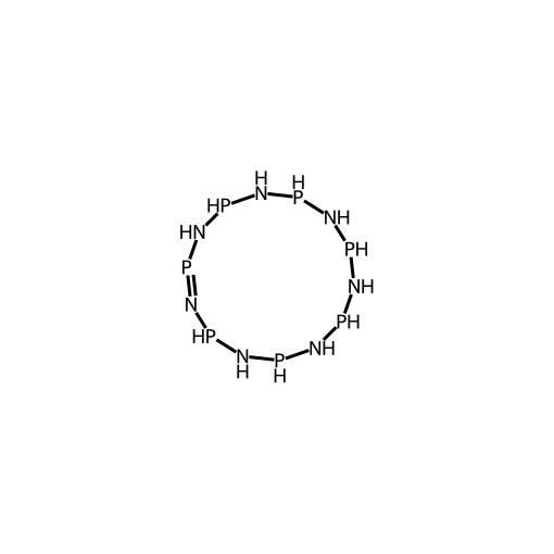 n1p[nH][pH][nH][pH][nH][pH][nH][pH][nH][pH][nH][pH]1